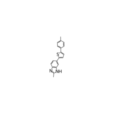 Cc1ccc(-c2ccc(-c3ccc4nc(C)[nH]c4c3)s2)cc1